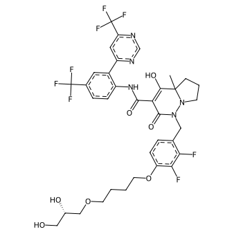 CC12CCCN1N(Cc1ccc(OCCCCOC[C@@H](O)CO)c(F)c1F)C(=O)C(C(=O)Nc1ccc(C(F)(F)F)cc1-c1cc(C(F)(F)F)ncn1)=C2O